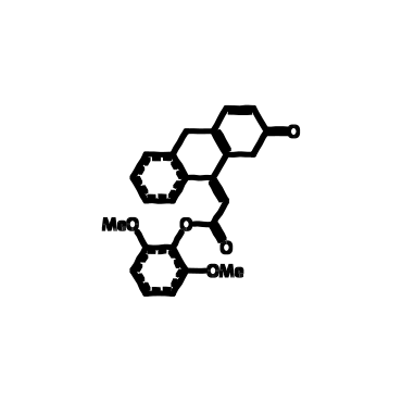 COc1cccc(OC)c1OC(=O)C=C1C2=C(C=CC(=O)C2)Cc2ccccc21